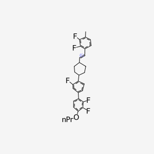 CCCOc1ccc(-c2ccc(C3CCC(/C=C/c4ccc(C)c(F)c4F)CC3)c(F)c2)c(F)c1F